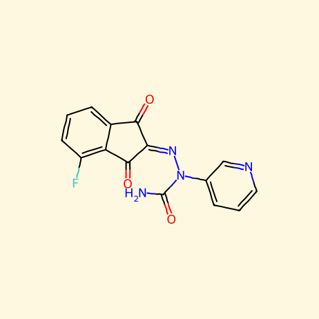 NC(=O)N(/N=c1/c(=O)c2cccc(F)c2c1=O)c1cccnc1